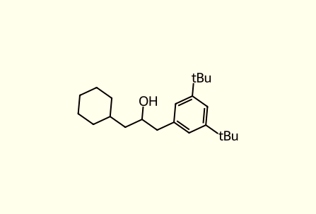 CC(C)(C)c1cc(CC(O)CC2CCCCC2)cc(C(C)(C)C)c1